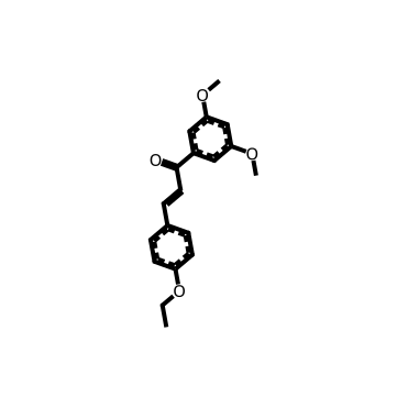 CCOc1ccc(/C=C/C(=O)c2cc(OC)cc(OC)c2)cc1